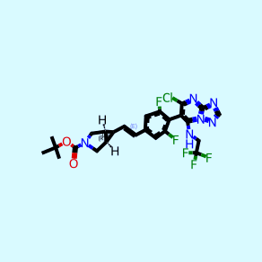 CC(C)(C)OC(=O)N1C[C@@H]2C(/C=C/c3cc(F)c(-c4c(Cl)nc5ncnn5c4NCC(F)(F)F)c(F)c3)[C@@H]2C1